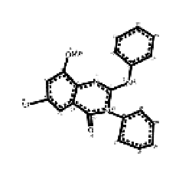 CCc1cc(OC)c2nc(Nc3ccccc3)n(-c3ccccc3)c(=O)c2c1